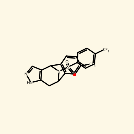 O=S(=O)(c1ccc(C(F)(F)F)cc1)N1C2Cc3[nH]ncc3C1c1ccc(C(F)(F)F)cc12